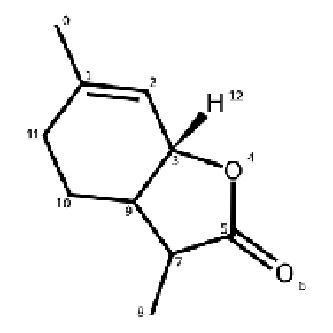 CC1=C[C@@H]2OC(=O)C(C)C2CC1